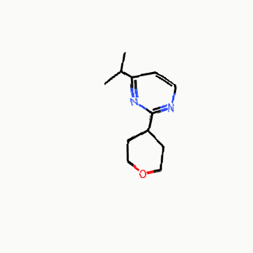 CC(C)c1ccnc(C2CCOCC2)n1